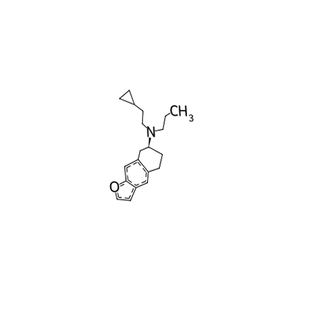 CCCN(CCC1CC1)[C@H]1CCc2cc3ccoc3cc2C1